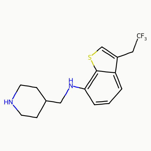 FC(F)(F)Cc1csc2c(NCC3CCNCC3)cccc12